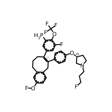 FCCCN1CC[C@H](Oc2ccc(/C3=C(\c4cc(F)c(OC(F)(F)F)c(P)c4)CCCc4cc(OF)ccc4C3)cc2)C1